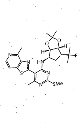 CSc1nc(C)c(-c2nc3c(C)nccc3s2)c(N[C@@H]2C[C@H](C(C)(C)F)[C@H]3OC(C)(C)O[C@H]32)n1